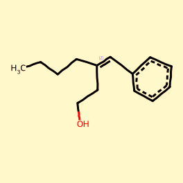 CCCC/C(=C/c1ccccc1)CCO